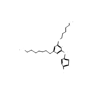 CCCCCCCCCCCCCCCCCc1cc(OCCCCCCCCCCCCCCC)cc(Sc2ccc(O)cc2)c1